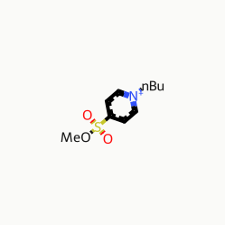 CCCC[n+]1ccc(S(=O)(=O)OC)cc1